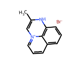 CC1=C[n+]2cccc3cccc(c32)N1.[Br-]